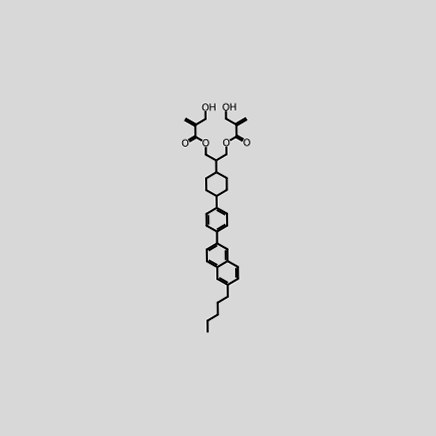 C=C(CO)C(=O)OCC(COC(=O)C(=C)CO)C1CCC(c2ccc(-c3ccc4cc(CCCCC)ccc4c3)cc2)CC1